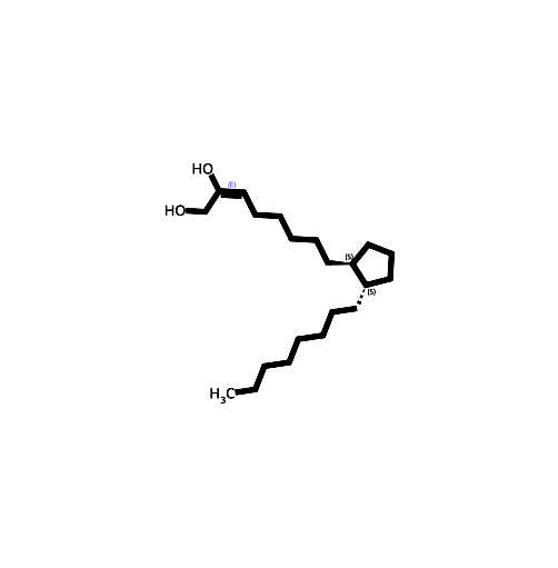 CCCCCCCC[C@H]1CCC[C@@H]1CCCCC/C=C(/O)CO